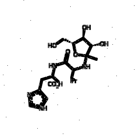 CC(C)C(NC1(C)O[C@H](CO)[C@@H](O)[C@@H]1O)C(=O)NC(Cc1c[nH]cn1)C(=O)O